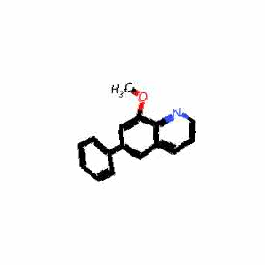 COc1cc(-c2ccccc2)cc2cccnc12